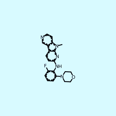 Cn1c2ccncc2c2ccc(Nc3c(F)cccc3N3CCOCC3)nc21